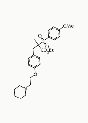 CCOC(=O)C(C)(Cc1ccc(OCCN2CCCCC2)cc1)S(=O)(=O)c1ccc(OC)cc1